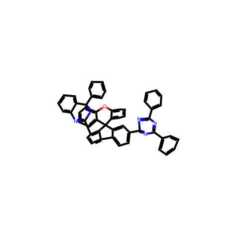 c1ccc(-c2nc(-c3ccccc3)nc(-c3ccc4c(c3)C3(c5ccccc5Oc5ccccc53)c3c(-c5nc(-c6ccccc6)c6ccccc6n5)cccc3-4)n2)cc1